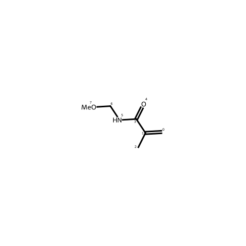 C=C(C)C(=O)NCOC